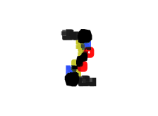 CC(C)(C)c1cccc2nc(SC(=O)CCC(=O)Sc3nc4cccc(C(C)(C)C)c4s3)sc12